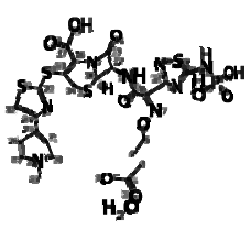 CC(=O)[O-].CCO/N=C(\C(=O)N[C@@H]1C(=O)N2C(C(=O)O)=C(Sc3nc(-c4cc[n+](C)cc4)cs3)CS[C@H]12)c1nsc(NP(=O)(O)O)n1.O